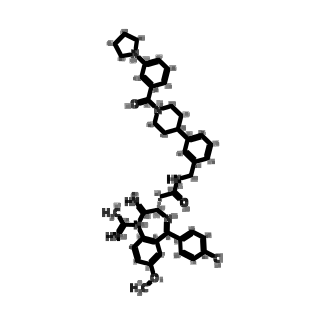 COc1ccc2c(c1)C(c1ccc(Cl)cc1)=N[C@@H](CC(=O)NCc1cccc(C3CCN(C(=O)c4cccc(N5CCCC5)c4)CC3)c1)C(=N)N2C(C)=N